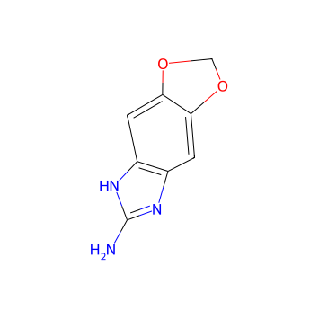 Nc1nc2cc3c(cc2[nH]1)OCO3